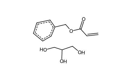 C=CC(=O)OCc1ccccc1.OCC(O)CO